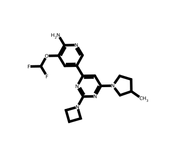 CC1CCN(c2cc(-c3cnc(N)c(OC(F)F)c3)nc(N3CCC3)n2)C1